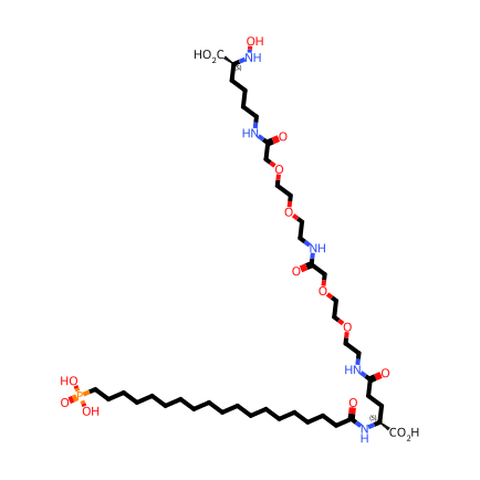 O=C(CC[C@H](NC(=O)CCCCCCCCCCCCCCCCCCP(=O)(O)O)C(=O)O)NCCOCCOCC(=O)NCCOCCOCC(=O)NCCCC[C@H](NO)C(=O)O